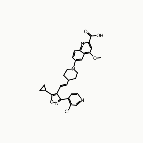 COc1cc(C(=O)O)nc2ccc(N3CCC(/C=C/c4c(-c5ccncc5Cl)noc4C4CC4)CC3)cc12